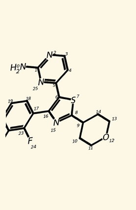 Nc1nccc(-c2sc(C3CCOCC3)nc2-c2cccc(N)c2F)n1